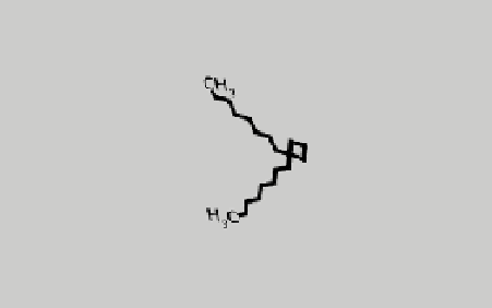 CCCCCCCCC1(CCCCCCCC)CCC1